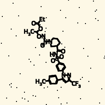 CCC(=O)OC(C)ON=[N+]([O-])N1CCCC(C(=O)NS(=O)(=O)c2ccc(-n3nc(C(F)(F)F)cc3-c3ccc(C)cc3)cc2)C1